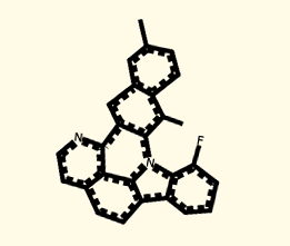 Cc1ccc2c(C)c3c(cc2c1)c1nccc2ccc4c5cccc(F)c5n3c4c21